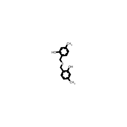 Cc1ccc(CSCc2ccc(C)cc2O)c(O)c1